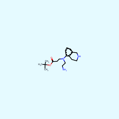 CC(C)(C)OC(=O)CCN(CCN)c1cccc2c1CCNC2